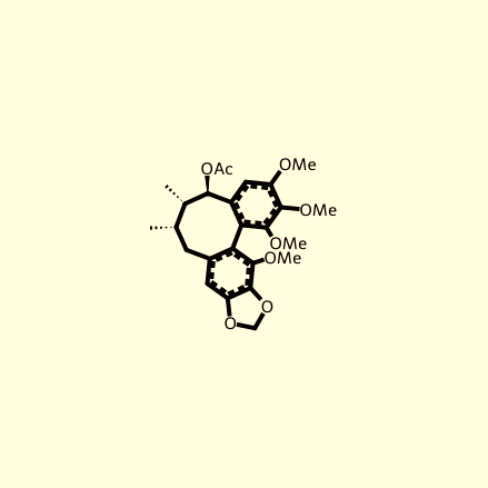 COc1cc2c(c(OC)c1OC)-c1c(cc3c(c1OC)OCO3)C[C@H](C)[C@H](C)[C@H]2OC(C)=O